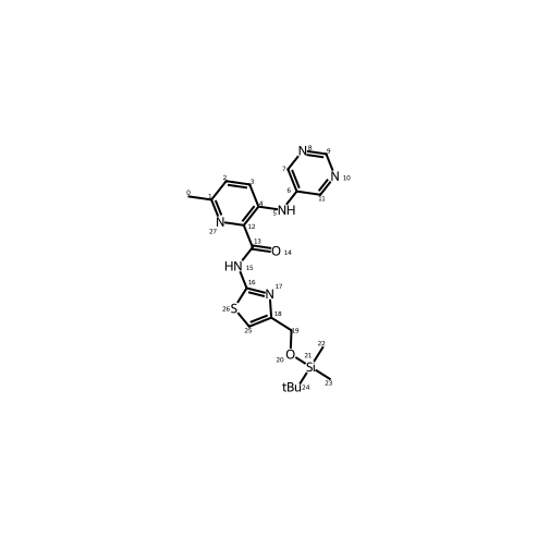 Cc1ccc(Nc2cncnc2)c(C(=O)Nc2nc(CO[Si](C)(C)C(C)(C)C)cs2)n1